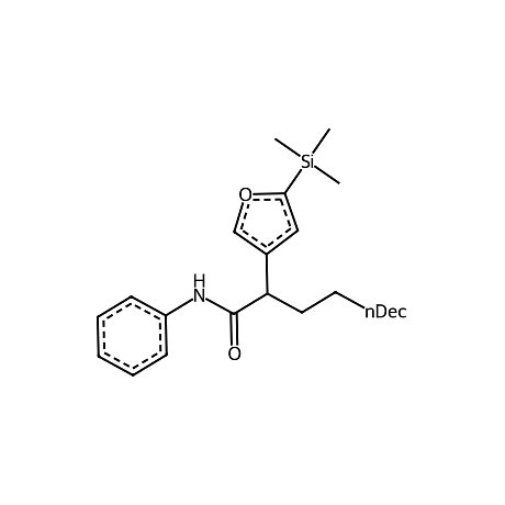 CCCCCCCCCCCCC(C(=O)Nc1ccccc1)c1coc([Si](C)(C)C)c1